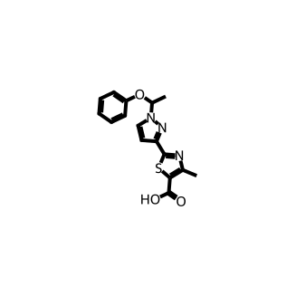 Cc1nc(-c2ccn(C(C)Oc3ccccc3)n2)sc1C(=O)O